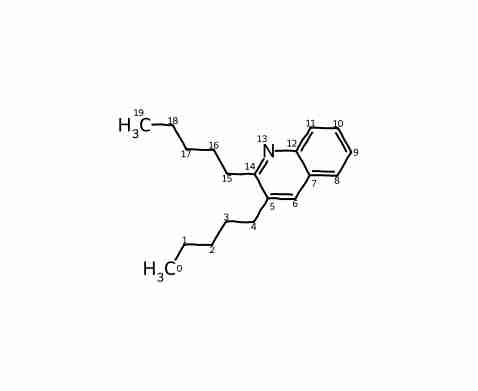 CCCCCc1cc2ccccc2nc1CCCCC